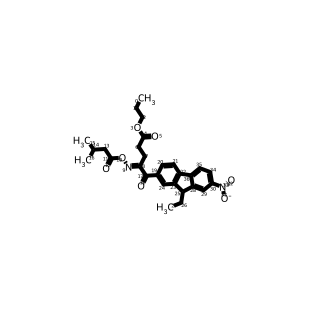 CCCOC(=O)CC/C(=N\OC(=O)CC(C)C)C(=O)c1ccc2c(c1)C(CC)c1cc([N+](=O)[O-])ccc1-2